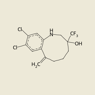 C=C1CCCC(O)(C(F)(F)F)CNc2cc(Cl)c(Cl)cc21